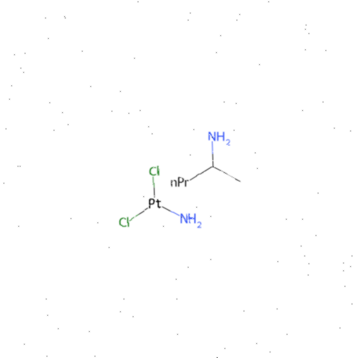 CCCC(C)N.[NH2][Pt]([Cl])[Cl]